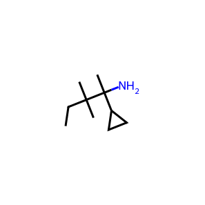 CCC(C)(C)C(C)(N)C1CC1